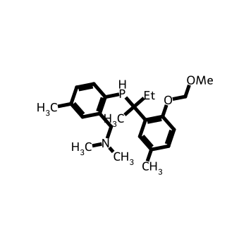 CCC(C)(Pc1ccc(C)cc1CN(C)C)c1cc(C)ccc1OCOC